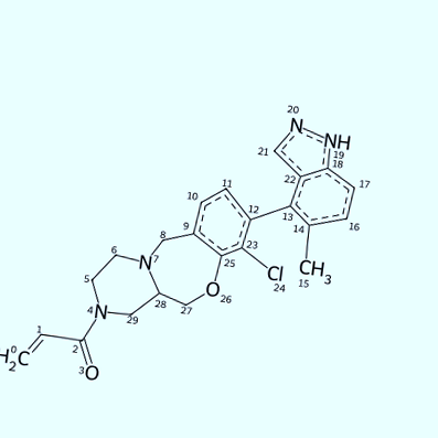 C=CC(=O)N1CCN2Cc3ccc(-c4c(C)ccc5[nH]ncc45)c(Cl)c3OCC2C1